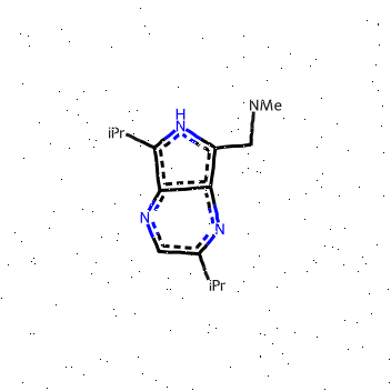 CNCc1[nH]c(C(C)C)c2ncc(C(C)C)nc12